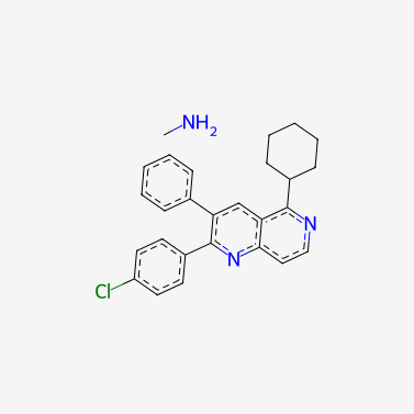 CN.Clc1ccc(-c2nc3ccnc(C4CCCCC4)c3cc2-c2ccccc2)cc1